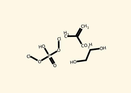 C=C(C)C(=O)O.O=P(O)(OCl)OCl.OCCO